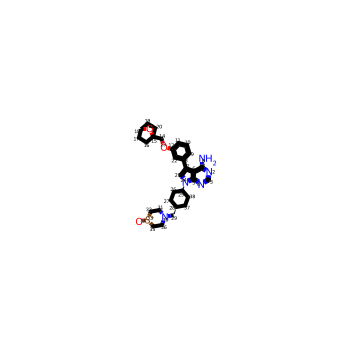 Nc1ncnc2c1c(-c1cccc(OCC34CCC(CC3)O4)c1)cn2[C@H]1CC[C@@H](CN2CC[S+]([O-])CC2)CC1